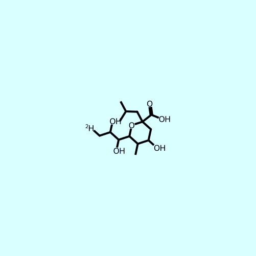 [2H]CC(O)C(O)C1OC(CC(C)C)(C(=O)O)CC(O)C1C